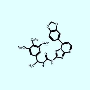 COc1cc(C(C)NC(=O)Nc2nc3nccc(-c4ccc5c(c4)OCO5)n3n2)cc(OC)c1OC